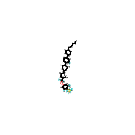 CCCCCC1CCC(c2ccc(C3CCC(C4CCC(C(F)(F)Oc5cc(F)c(S(F)(F)(F)(F)F)c(F)c5)CC4)CC3)c(F)c2)CC1